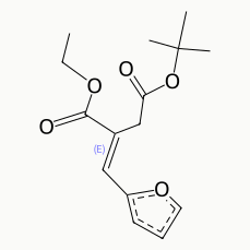 CCOC(=O)/C(=C/c1ccco1)CC(=O)OC(C)(C)C